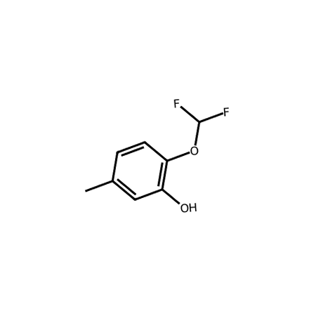 Cc1ccc(OC(F)F)c(O)c1